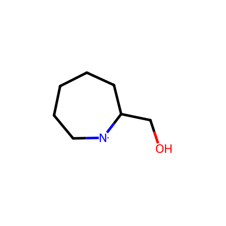 OCC1CCCCC[N]1